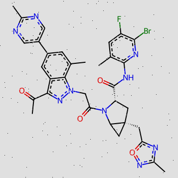 CC(=O)c1nn(CC(=O)N2C3C[C@]3(Cc3nc(C)no3)C[C@H]2C(=O)Nc2nc(Br)c(F)cc2C)c2c(C)cc(-c3cnc(C)nc3)cc12